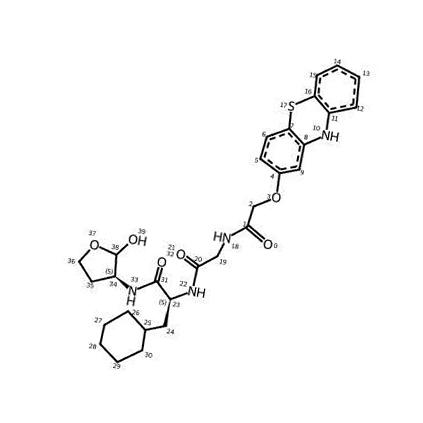 O=C(COc1ccc2c(c1)Nc1ccccc1S2)NCC(=O)N[C@@H](CC1CCCCC1)C(=O)N[C@H]1CCOC1O